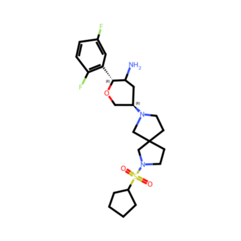 NC1C[C@@H](N2CCC3(CCN(S(=O)(=O)C4CCCC4)C3)C2)CO[C@@H]1c1cc(F)ccc1F